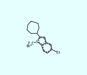 CCc1ccc2c(c1)cc(C1CCCCCC1)[s+]2C(F)(F)F.[Br-]